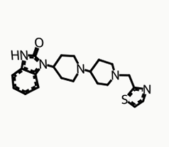 O=c1[nH]c2ccccc2n1C1CCN(C2CCN(Cc3nccs3)CC2)CC1